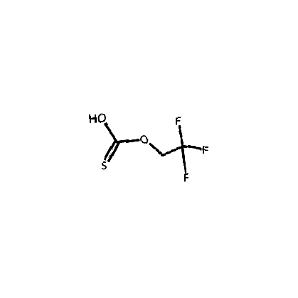 OC(=S)OCC(F)(F)F